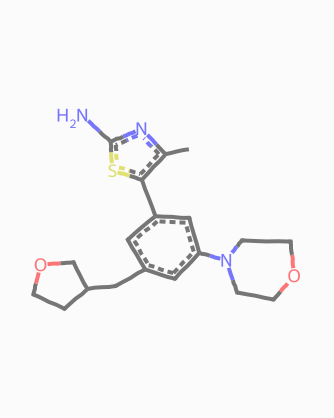 Cc1nc(N)sc1-c1cc(CC2CCOC2)cc(N2CCOCC2)c1